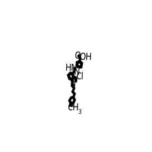 CN1CCC(CCCCn2cc(Cl)c3c(-c4nc5ccc(C(=O)O)cc5[nH]4)cccc32)CC1